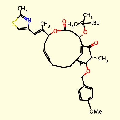 COc1ccc(CO[C@H]2[C@H]3C=C(C(=O)[C@@H]2C)[C@@H](O[Si](C)(C)C(C)(C)C)CC(=O)O[C@H](/C(C)=C/c2csc(C)n2)C/C=C\CCC3)cc1